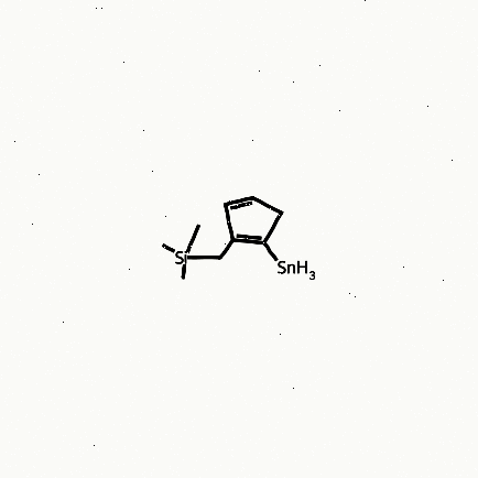 C[Si](C)(C)CC1=[C]([SnH3])CC=C1